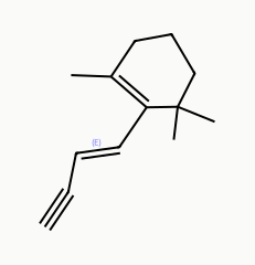 C#C/C=C/C1=C(C)CCCC1(C)C